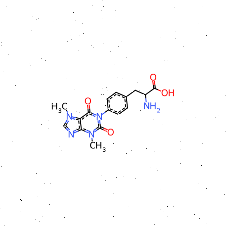 Cn1cnc2c1c(=O)n(-c1ccc(CC(N)C(=O)O)cc1)c(=O)n2C